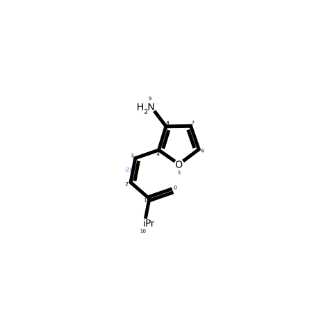 C=C(/C=C\c1occc1N)C(C)C